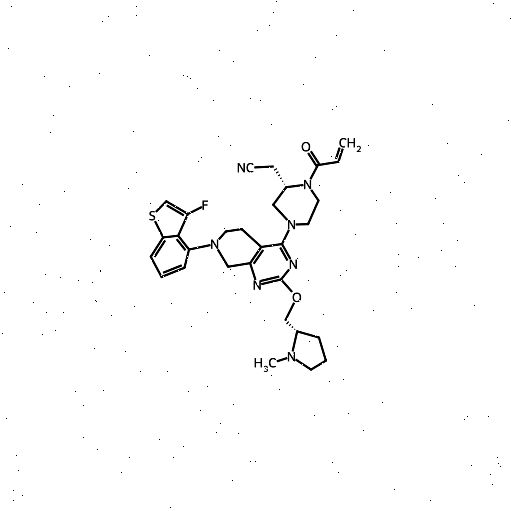 C=CC(=O)N1CCN(c2nc(OC[C@@H]3CCCN3C)nc3c2CCN(c2cccc4scc(F)c24)C3)C[C@@H]1CC#N